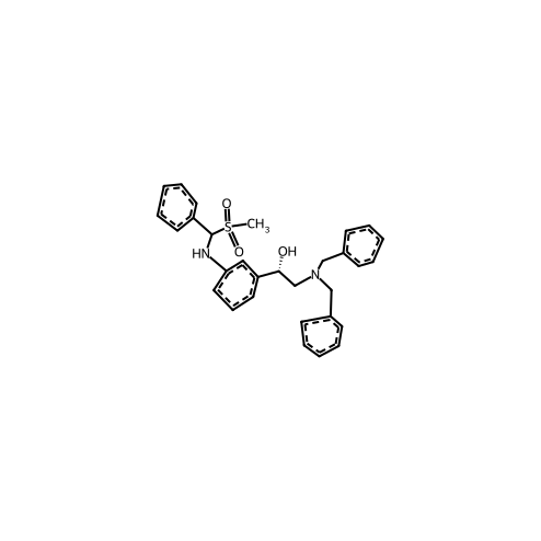 CS(=O)(=O)C(Nc1cccc([C@H](O)CN(Cc2ccccc2)Cc2ccccc2)c1)c1ccccc1